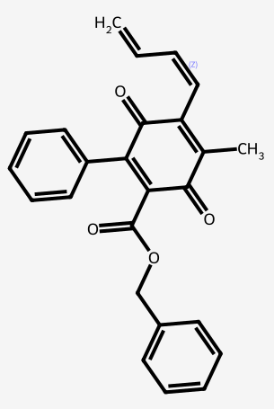 C=C/C=C\C1=C(C)C(=O)C(C(=O)OCc2ccccc2)=C(c2ccccc2)C1=O